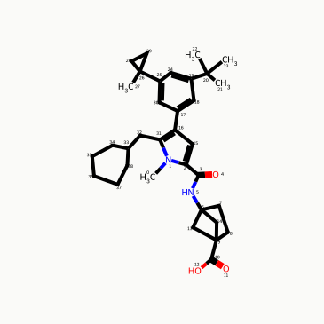 Cn1c(C(=O)NC23CCC(C(=O)O)(C2)C3)cc(-c2cc(C(C)(C)C)cc(C3(C)CC3)c2)c1CC1CCCCC1